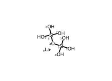 O[Si](O)(O)O[Si](O)(O)O.[La]